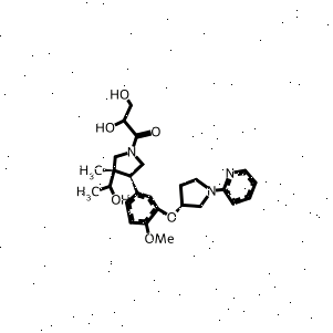 COc1ccc([C@@H]2CN(C(=O)C(O)CO)C[C@@]2(C)C(C)O)cc1O[C@H]1CCN(c2ccccn2)C1